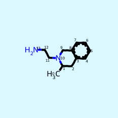 CC1Cc2ccccc2CN1CCN